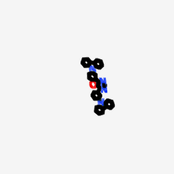 c1cc(-c2ncnc3c2oc2ccc(-n4c5ccccc5c5ccccc54)cc23)cc(-n2c3ccccc3c3ccccc32)c1